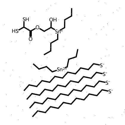 CCCCCCCCCCCC[S-].CCCCCCCCCCCC[S-].CCCCCCCCCCCC[S-].CCCCCCCCCCCC[S-].CCC[CH2][Sn+2][CH2]CCC.CCC[CH2][Sn+]([CH2]CCC)[CH](O)COC(=O)C(S)S